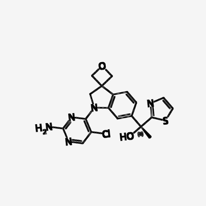 C[C@@](O)(c1ccc2c(c1)N(c1nc(N)ncc1Cl)CC21COC1)c1nccs1